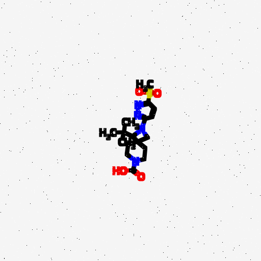 CC(C)(C)C1N(c2ccc(S(C)(=O)=O)nn2)CC12CCN(C(=O)O)CC2